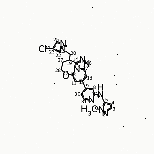 Cn1nccc1Nc1cc(-c2cc3n4c(nnc4c2)C(Cn2cc(Cl)cn2)CCO3)ccn1